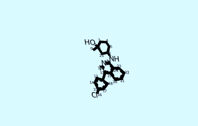 CC1(O)CCCC(Nc2nnc(-c3ccc(Cl)cc3)c3ccccc23)C1